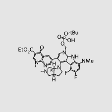 CCOC(=O)c1cn(C)c2ncc(C3=CN(COP(=O)(O)OC(C)(C)C)C4Nc5c(NC)cc(F)c(F)c5C4=C3N3CC[C@@H]4CN(C)C[C@@H]43)cc2c1=O